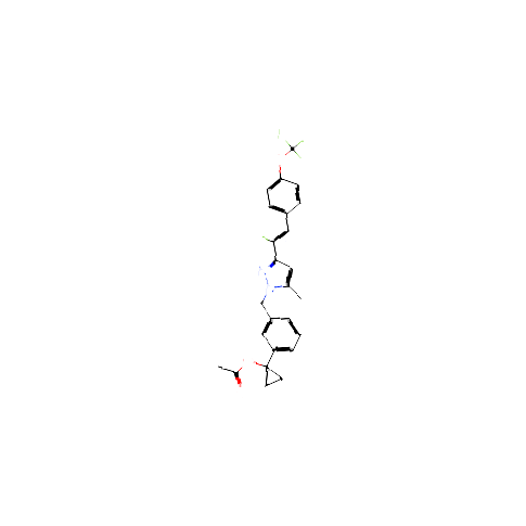 CC(=O)OC1(c2cccc(Cn3nc(/C(F)=C/c4ccc(OC(F)(F)F)cc4)cc3C)c2)CC1